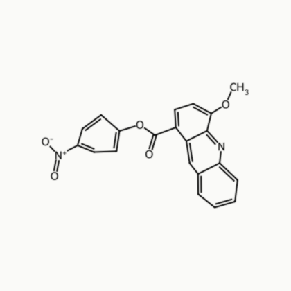 COc1ccc(C(=O)Oc2ccc([N+](=O)[O-])cc2)c2cc3ccccc3nc12